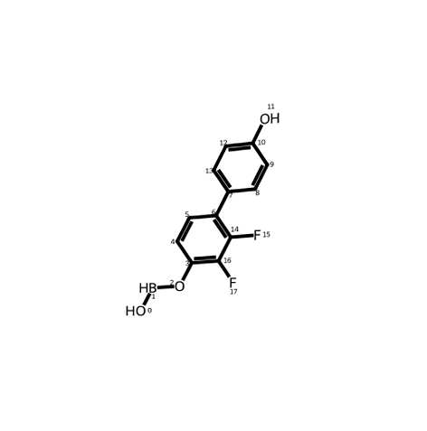 OBOc1ccc(-c2ccc(O)cc2)c(F)c1F